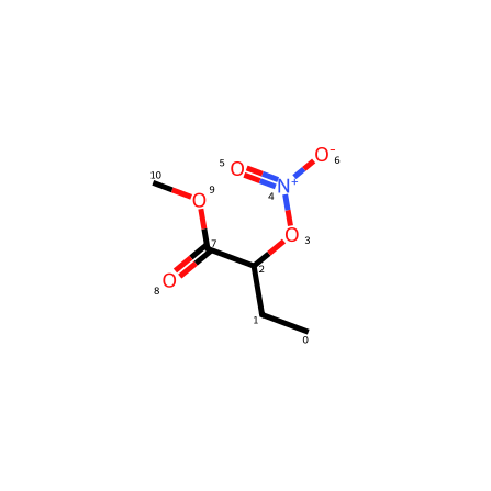 CCC(O[N+](=O)[O-])C(=O)OC